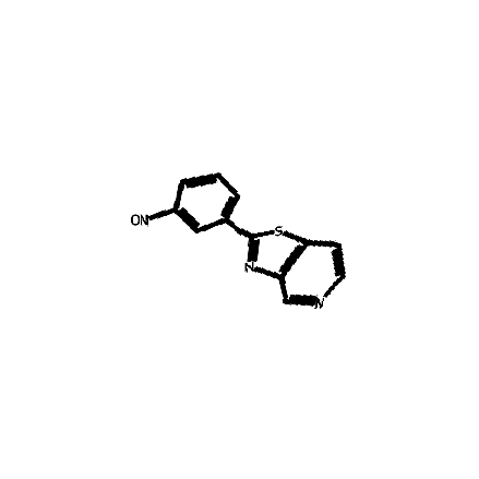 O=Nc1cccc(-c2nc3cnccc3s2)c1